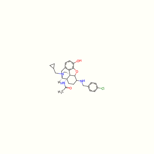 CC(=O)N[C@@]12CCC(NCc3ccc(Cl)cc3)C3Oc4c(O)ccc5c4[C@@]31CCN(CC1CC1)[C@@H]2C5